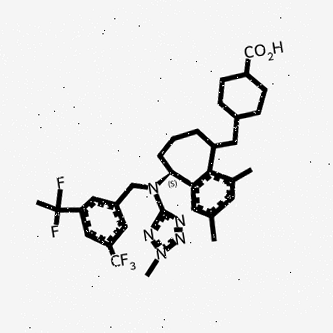 Cc1cc(C)c2c(c1)[C@@H](N(Cc1cc(C(C)(F)F)cc(C(F)(F)F)c1)c1nnn(C)n1)CCCC2CC1CCC(C(=O)O)CC1